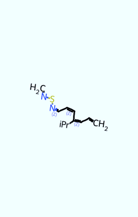 C=C\C=C(/C=C\C=N/SN=C)C(C)C